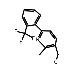 Cc1nc(-c2ccccc2C(F)(F)F)ccc1CCl